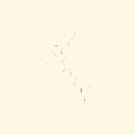 C=C/C(=C\C=C(/C)OC)NCc1nc(-c2cc3c(N[C@@H]4CCN(C)C[C@@H]4F)cccc3n2CC(F)(F)F)no1